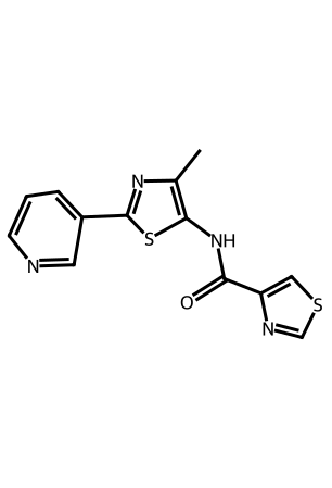 Cc1nc(-c2cccnc2)sc1NC(=O)c1cscn1